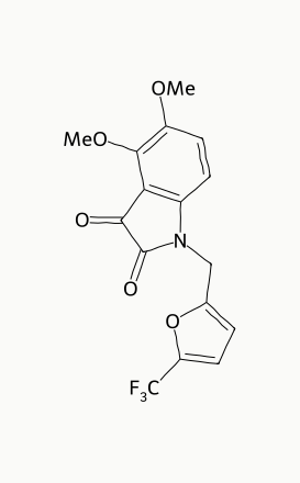 COc1ccc2c(c1OC)C(=O)C(=O)N2Cc1ccc(C(F)(F)F)o1